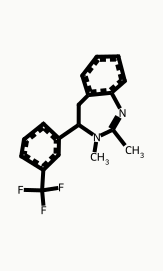 CC1=Nc2ccccc2CC(c2cccc(C(F)(F)F)c2)N1C